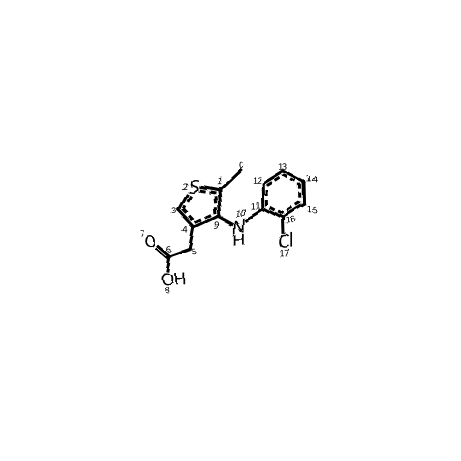 Cc1scc(CC(=O)O)c1Nc1ccccc1Cl